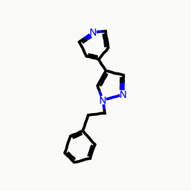 c1ccc(CCn2cc(-c3ccncc3)cn2)cc1